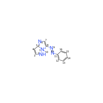 C[N+]12NC=CC1=NC=C2N=Nc1ccccc1